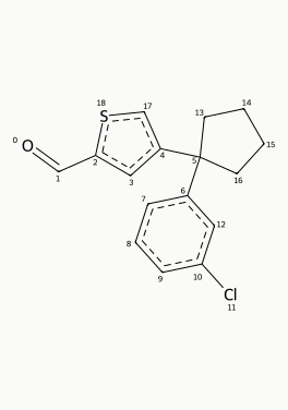 O=Cc1cc(C2(c3cccc(Cl)c3)CCCC2)cs1